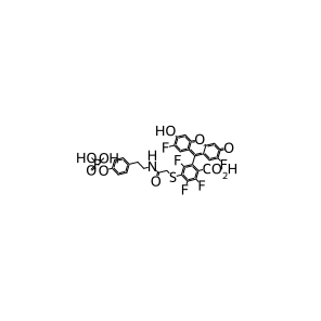 O=C(CSc1c(F)c(F)c(C(=O)O)c(-c2c3cc(F)c(=O)cc-3oc3cc(O)c(F)cc23)c1F)NCCc1ccc(OP(=O)(O)O)cc1